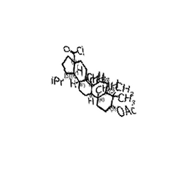 CC(=O)O[C@H]1CC[C@]2(C)[C@H]3CC[C@@H]4[C@H]5[C@H](C(C)C)CC[C@]5(C(=O)Cl)CC[C@@]4(C)[C@]3(C)CC[C@H]2C1(C)C